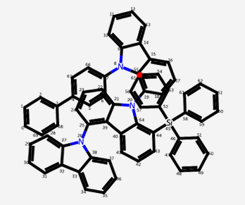 c1ccc(-c2ccc(-n3c4ccccc4c4cccc(-n5c6cccc(-n7c8ccccc8c8ccccc87)c6c6cccc([Si](c7ccccc7)(c7ccccc7)c7ccccc7)c65)c43)cc2)cc1